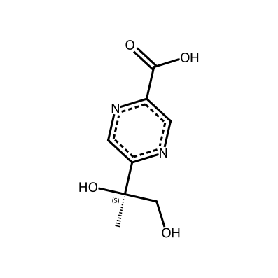 C[C@@](O)(CO)c1cnc(C(=O)O)cn1